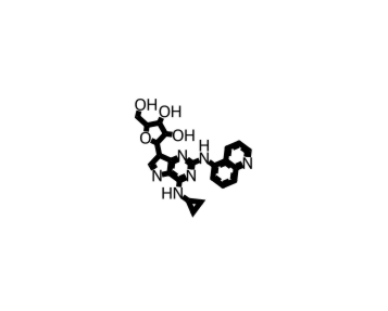 OCC1OC(C2C=Nc3c(NC4CC4)nc(Nc4cccc5ncccc45)nc32)C(O)C1O